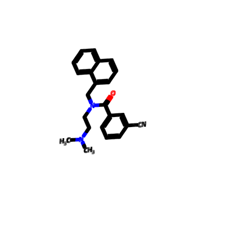 CN(C)CCN(Cc1cccc2ccccc12)C(=O)c1cccc(C#N)c1